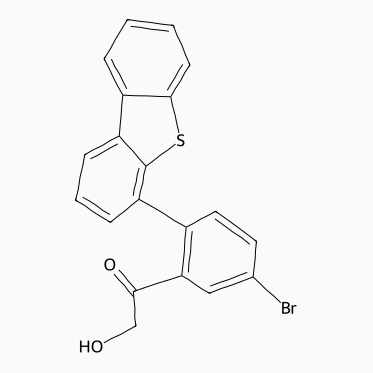 O=C(CO)c1cc(Br)ccc1-c1cccc2c1sc1ccccc12